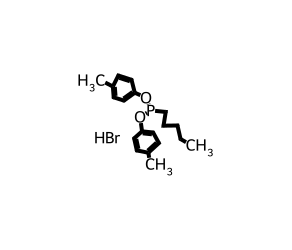 Br.CCCCCP(Oc1ccc(C)cc1)Oc1ccc(C)cc1